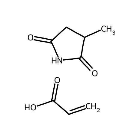 C=CC(=O)O.CC1CC(=O)NC1=O